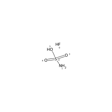 F.NS(=O)(=O)O